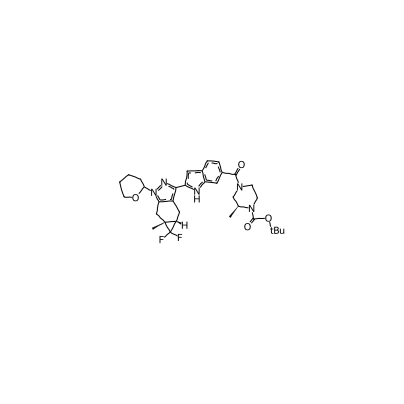 C[C@H]1CN(C(=O)c2ccc3cc(-c4nn(C5CCCCO5)c5c4C[C@@H]4C(F)(F)[C@]4(C)C5)[nH]c3c2)CCN1C(=O)OC(C)(C)C